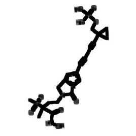 CC(CCN1Cc2cc(C#CC#CC3(COP(=O)(O)O)CC3)cn2C1=O)(C(=O)NO)S(C)(=O)=O